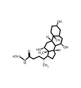 CCCCCCCCNC(=O)CC[C@@H](C)C1CC[C@H]2C3[C@H](O)CC4C[C@H](O)CCC4(C)[C@H]3C[C@H](O)[C@@]12C